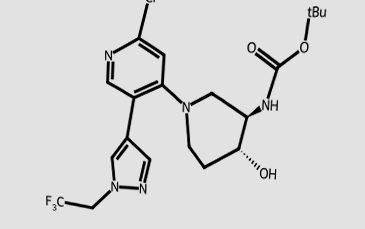 CC(C)(C)OC(=O)N[C@@H]1CN(c2cc(Cl)ncc2-c2cnn(CC(F)(F)F)c2)CC[C@H]1O